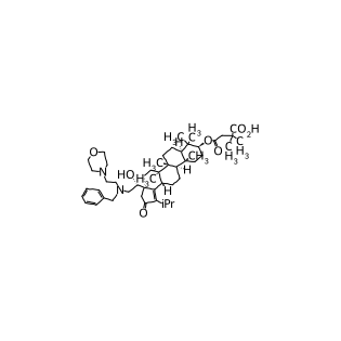 CC(C)C1=C2[C@H]3CC[C@@H]4[C@@]5(C)CC[C@H](OC(=O)CC(C)(C)C(=O)O)C(C)(C)[C@@H]5CC[C@@]4(C)[C@]3(C)CC[C@@]2([C@@H](O)CN(CCN2CCOCC2)Cc2ccccc2)CC1=O